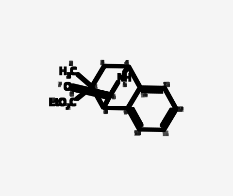 CCOC(=O)C1(C)CC2NC(=O)C1c1ccccc12